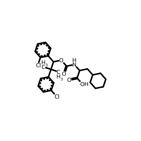 CC(C)(c1cccc(Cl)c1)C(OC(=O)NC(CC1CCCCC1)C(=O)O)c1ccccc1Cl